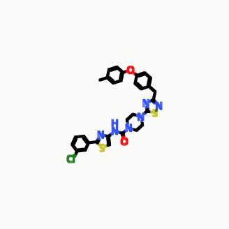 Cc1ccc(Oc2ccc(Cc3nsc(N4CCN(C(=O)Nc5csc(-c6cccc(Cl)c6)n5)CC4)n3)cc2)cc1